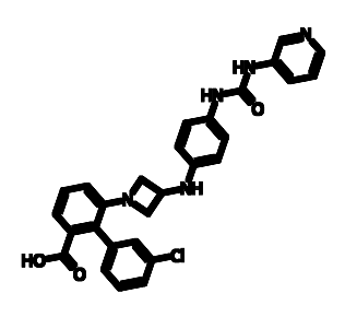 O=C(Nc1ccc(NC2CN(c3cccc(C(=O)O)c3-c3cccc(Cl)c3)C2)cc1)Nc1cccnc1